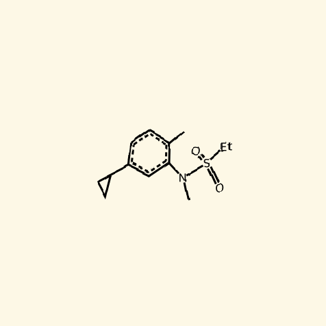 CCS(=O)(=O)N(C)c1cc(C2CC2)ccc1C